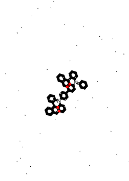 c1ccc(N(c2ccc(-c3ccc(N(c4ccccc4)c4ccccc4-c4cccc5ccccc45)cc3)cc2)c2ccccc2-c2cccc3ccccc23)cc1